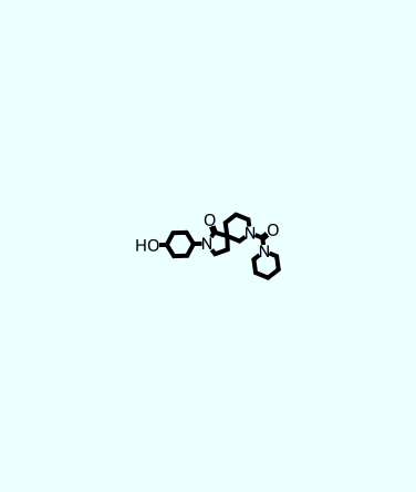 O=C(N1CCCCC1)N1CCCC2(CCN(C3CCC(O)CC3)C2=O)C1